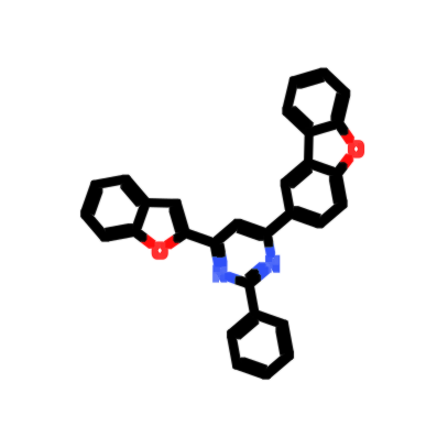 c1ccc(-c2nc(-c3ccc4oc5ccccc5c4c3)cc(-c3cc4ccccc4o3)n2)cc1